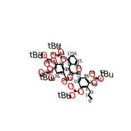 C=CCc1c(OC(=O)OC(C)(C)C)cc([C@H]2Oc3ccccc3C[C@H]2OC(=O)c2cc(OC(=O)OC(C)(C)C)c(OC(=O)OC(C)(C)C)c(OC(=O)OC(C)(C)C)c2)cc1OC(=O)OC(C)(C)C